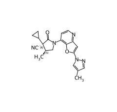 Cc1cnn(-c2cc3nccc(N4C[C@@H](C)[C@@](C#N)(C5CC5)C4=O)c3o2)c1